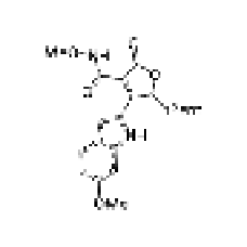 CCCCCC1OC(=O)C(C(=O)NOC)=C1c1cc2ccc(OC)cc2[nH]1